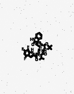 CC(C)[C@H](NC(=O)c1cc2c(F)cc(F)c(F)c2[nH]1)C(=O)N[C@@H](CC(C)(C)C)C(=O)N1C[C@]2(C[C@H]1C#N)C(=O)Nc1ccccc12